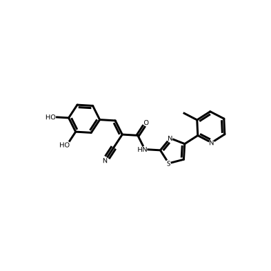 Cc1cccnc1-c1csc(NC(=O)/C(C#N)=C/c2ccc(O)c(O)c2)n1